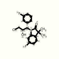 CC1(C)C(=O)N([C@@H](c2cccc(F)c2)[C@H](O)CCl)c2cc(F)ccc21